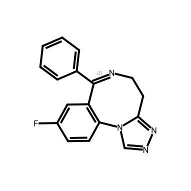 Fc1ccc2c(c1)/C(c1ccccc1)=N\CCc1nncn1-2